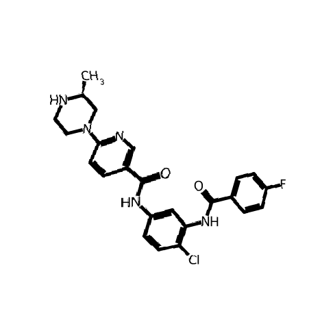 C[C@H]1CN(c2ccc(C(=O)Nc3ccc(Cl)c(NC(=O)c4ccc(F)cc4)c3)cn2)CCN1